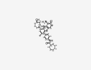 CN1CCCN(c2cc(F)c(-c3ccc(NC(=O)C4CCCCCC4)cc3)c(F)c2Nc2ncnc(Cl)c2N)CC1